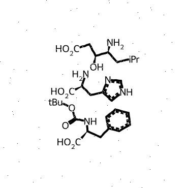 CC(C)(C)OC(=O)N[C@@H](Cc1ccccc1)C(=O)O.CC(C)C[C@H](N)[C@@H](O)CC(=O)O.N[C@@H](Cc1c[nH]cn1)C(=O)O